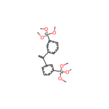 C=C(c1cccc([Si](OC)(OC)OC)c1)c1cccc([Si](OC)(OC)OC)c1